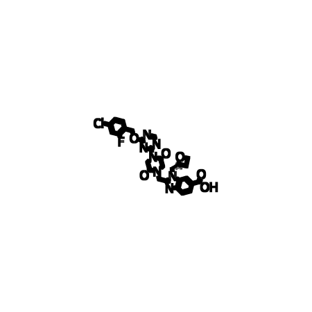 O=C(O)c1ccc2nc(CN3CC(=O)N(c4ncnc(OCc5ccc(Cl)cc5F)n4)CC3=O)n(C[C@@H]3CCO3)c2c1